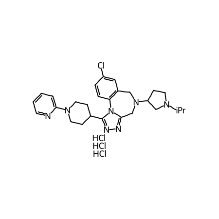 CC(C)N1CCC(N2Cc3cc(Cl)ccc3-n3c(nnc3C3CCN(c4ccccn4)CC3)C2)C1.Cl.Cl.Cl